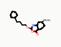 CC(=O)Nc1ccc2c(=O)oc(OCCCCc3ccccc3)nc2c1